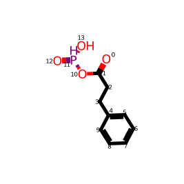 O=C(CCc1ccccc1)O[PH](=O)O